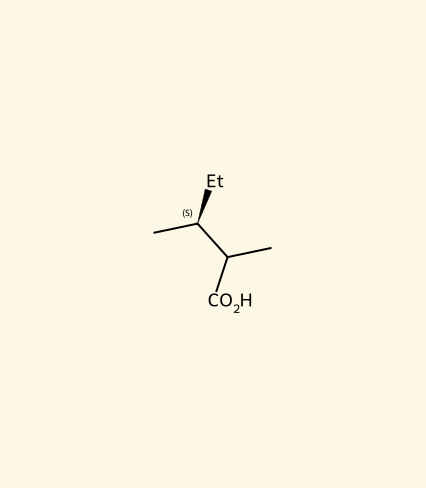 CC[C@H](C)C(C)C(=O)O